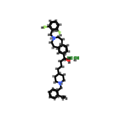 Cc1ccccc1CN1CCC(CCCC(=O)c2ccc3c(c2)CCN(Cc2c(F)cccc2F)CC3)CC1.Cl.Cl